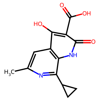 Cc1cc2c(O)c(C(=O)O)c(=O)[nH]c2c(C2CC2)n1